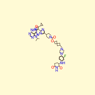 CC(C)n1nc(-c2noc(C3CC3)c2-c2ncc(C3CCN(C(=O)OC4CC5(CC(CN6CCN(c7ccc(NC8CCC(=O)NC8=O)cc7F)CC6)C5)C4)CC3)cn2)c2c(N)ncnc21